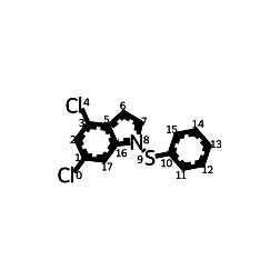 Clc1cc(Cl)c2ccn(Sc3ccccc3)c2c1